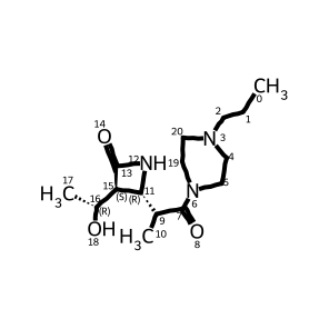 CCCN1CCN(C(=O)C(C)[C@H]2NC(=O)[C@@H]2[C@@H](C)O)CC1